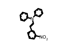 O=[N+]([O-])c1cccc(C=CN(c2ccccc2)c2ccccc2)c1